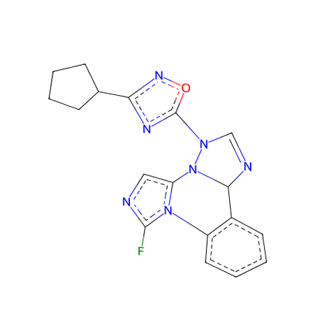 Fc1ncc2n1-c1ccccc1C1N=CN(c3nc(C4CCCC4)no3)N21